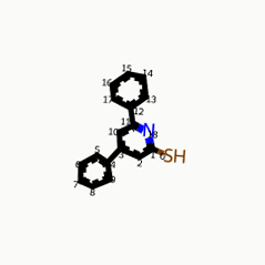 Sc1cc(-c2ccccc2)cc(-c2ccccc2)n1